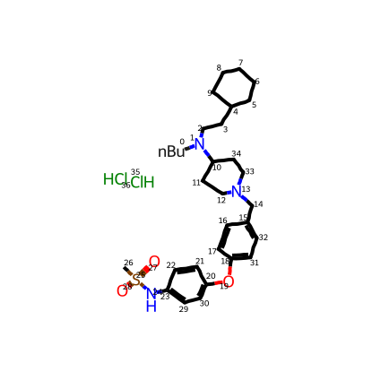 CCCCN(CCC1CCCCC1)C1CCN(Cc2ccc(Oc3ccc(NS(C)(=O)=O)cc3)cc2)CC1.Cl.Cl